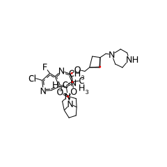 CC(C)(C)OC(=O)N1C2CCC1CN(c1nc(OCC34CC(CN5CCNCC5)(C3)C4)nc3c(F)c(Cl)ncc13)C2